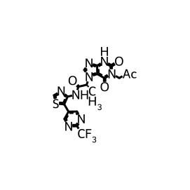 CC(=O)Cn1c(=O)[nH]c2ncn([C@@H](C)C(=O)Nc3ncsc3-c3cnc(C(F)(F)F)nc3)c2c1=O